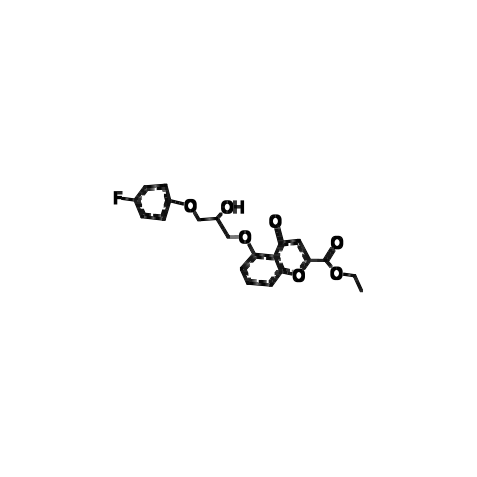 CCOC(=O)c1cc(=O)c2c(OCC(O)COc3ccc(F)cc3)cccc2o1